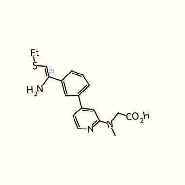 CCS/C=C(\N)c1cccc(-c2ccnc(N(C)CC(=O)O)c2)c1